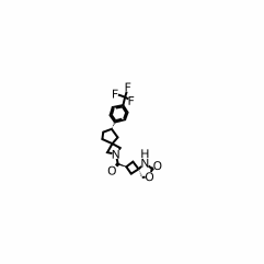 O=C1N[C@]2(CO1)C[C@H](C(=O)N1CC3(CC[C@H](c4ccc(C(F)(F)F)cc4)C3)C1)C2